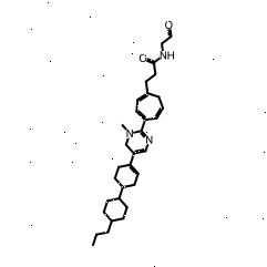 CCCC1CCC(C2CC=C(C3=CN=C(C4=CC=C(CCC(=O)NCC=O)CC=C4)N(C)C3)CC2)CC1